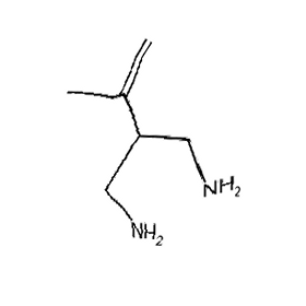 C=C(C)C(CN)CN